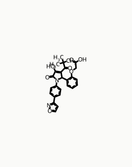 CC(C)(C)C(=O)C1=C(O)C(=O)N(c2ccc(-c3ccon3)cc2)C1c1ccccc1OCC(=O)O